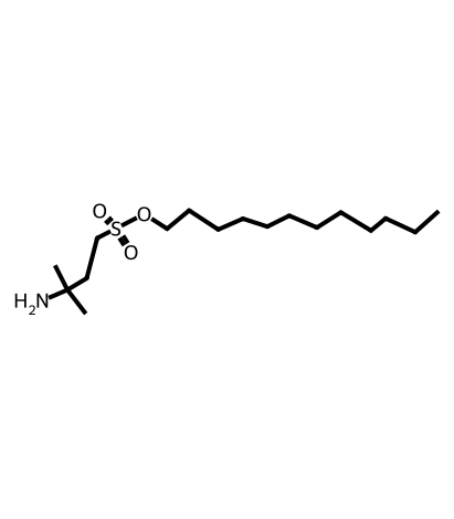 CCCCCCCCCCCCOS(=O)(=O)CCC(C)(C)N